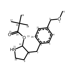 COCc1ccc(CC2CCNC2OC(=O)C(C)(C)C)cc1